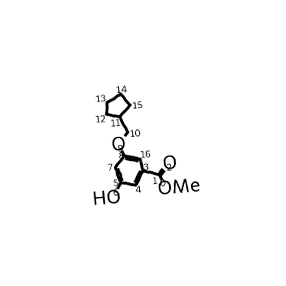 COC(=O)c1cc(O)cc(OCC2CCCC2)c1